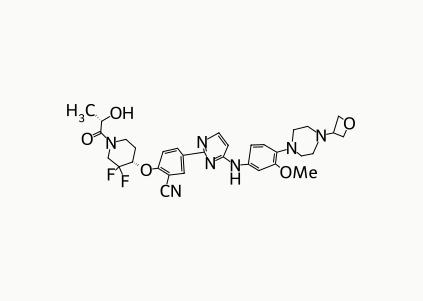 COc1cc(Nc2ccnc(-c3ccc(O[C@H]4CCN(C(=O)[C@H](C)O)CC4(F)F)c(C#N)c3)n2)ccc1N1CCN(C2COC2)CC1